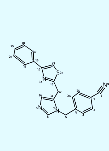 N#Cc1ccc(Cn2cncc2Cc2nc(-c3ccccc3)cs2)cc1